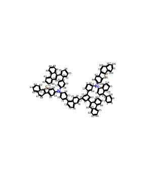 c1ccc(-c2ccc(N(c3cccc(-c4cc(-c5ccc6c(-c7ccc(N(c8ccc(-c9ccccc9-c9cc%10ccccc%10c%10ccccc9%10)cc8)c8ccc9c(c8)sc8c%10ccccc%10ccc98)cc7)cccc6c5)cc(-c5cc6ccccc6c6ccccc56)c4)c3)c3ccc4c(c3)sc3c5ccccc5ccc43)c3ccccc23)cc1